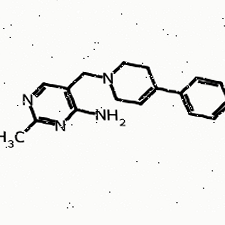 Cc1ncc(CN2CC=C(c3ccccc3)CC2)c(N)n1